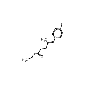 CCOC(=O)CC/C(C)=C/c1ccc(F)cc1